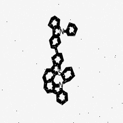 c1ccc(-n2c3ccccc3c3ccc(-c4ccc5sc6c(ccc7ccc8c9ccccc9n(-c9ccccc9)c8c76)c5c4)cc32)cc1